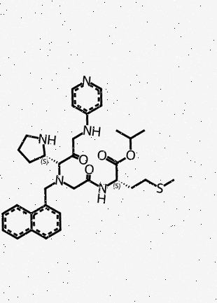 CSCC[C@H](NC(=O)CN(Cc1cccc2ccccc12)C(C(=O)CNc1ccncc1)[C@@H]1CCCN1)C(=O)OC(C)C